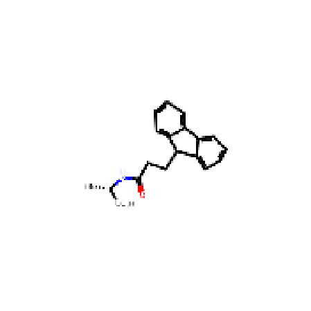 CC(C)(C)[C@H](NC(=O)CCC1c2ccccc2-c2ccccc21)C(=O)O